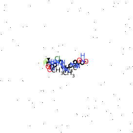 Cc1nc(C2CCN(c3cccc4c(C5CCC(=O)NC5=O)nn(C)c34)CC2)c2n1CCN(c1ncc(Cl)c(Nc3ccc4c(c3)c3c(c(=O)n4C)OCC(F)(F)[C@H](C4CC4)N3)n1)C2